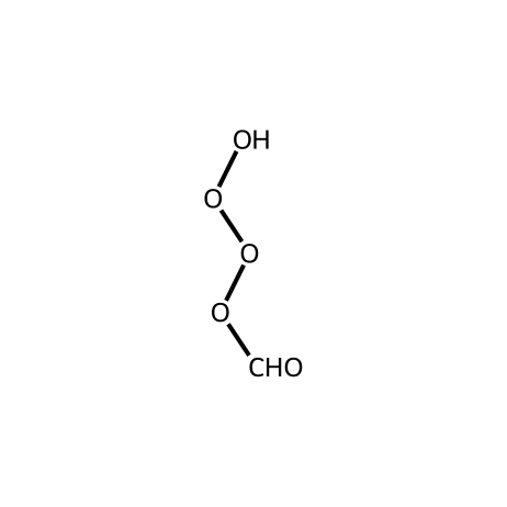 O=COOOO